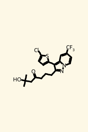 CC(C)(O)CC(=O)CCCc1nn2ccc(C(F)(F)F)cc2c1-c1ccc(Cl)s1